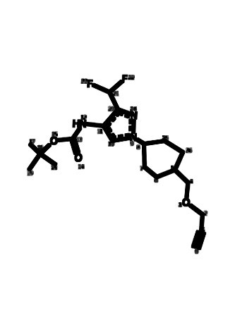 C#CCOCC1CCC(n2cc(NC(=O)OC(C)(C)C)c(C(F)F)n2)CC1